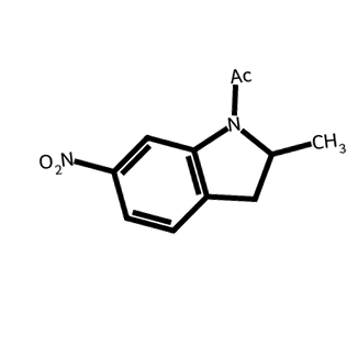 CC(=O)N1c2cc([N+](=O)[O-])ccc2CC1C